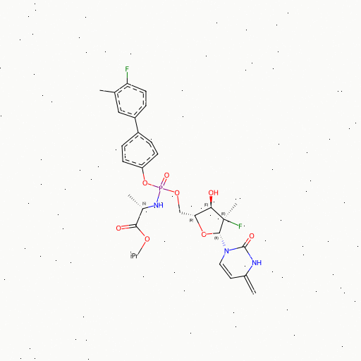 C=C1C=CN([C@@H]2O[C@H](COP(=O)(N[C@@H](C)C(=O)OC(C)C)Oc3ccc(-c4ccc(F)c(C)c4)cc3)[C@@H](O)[C@@]2(C)F)C(=O)N1